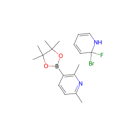 Cc1ccc(B2OC(C)(C)C(C)(C)O2)c(C)n1.FC1(Br)C=CC=CN1